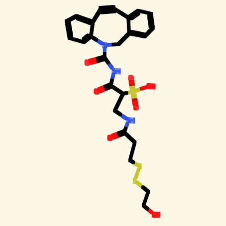 O=C(CCSSCCO)NCC(C(=O)NC(=O)N1Cc2ccccc2C#Cc2ccccc21)S(=O)(=O)O